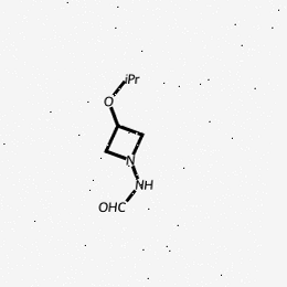 CC(C)OC1CN(NC=O)C1